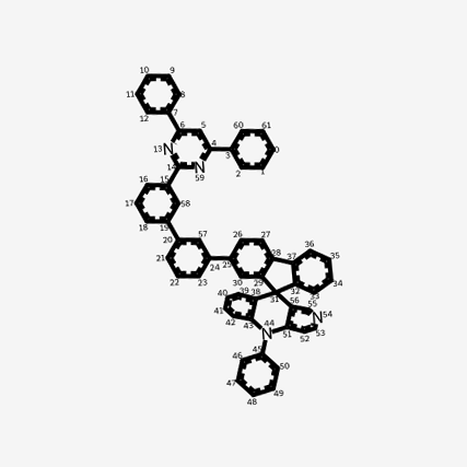 c1ccc(-c2cc(-c3ccccc3)nc(-c3cccc(-c4cccc(-c5ccc6c(c5)C5(c7ccccc7-6)c6ccccc6N(c6ccccc6)c6ccncc65)c4)c3)n2)cc1